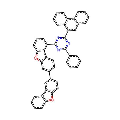 c1ccc(-c2nc(-c3cc4ccccc4c4ccccc34)nc(-c3cccc4oc5cc(-c6ccc7oc8ccccc8c7c6)ccc5c34)n2)cc1